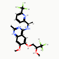 COc1cc2nc(C)nc(N[C@H](C)c3cccc(C(F)(F)F)n3)c2cc1OCC(OC)C(F)(F)F